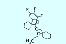 CCCOC1(COC(=O)C2(c3cc(F)c(F)c(F)c3)CCCCC2)CCCCC1